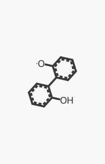 [O]c1ccccc1-c1ccccc1O